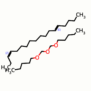 CC/C=C\CCCCCCCC/C=C/CCCC.CCCCCOCOCOCCCCC